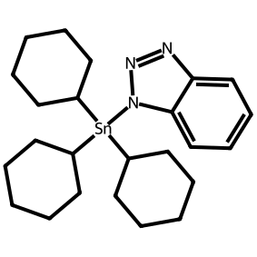 c1ccc2c(c1)nn[n]2[Sn]([CH]1CCCCC1)([CH]1CCCCC1)[CH]1CCCCC1